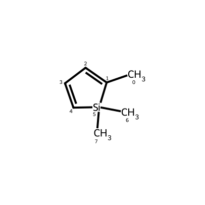 CC1=CC=C[Si]1(C)C